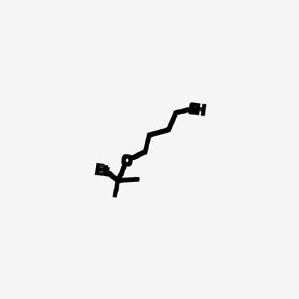 CCC(C)(C)OCCCCS